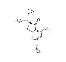 C#Cc1cc2c(c(C(F)(F)F)c1)C(=O)N(C(C)C1CC1)C2